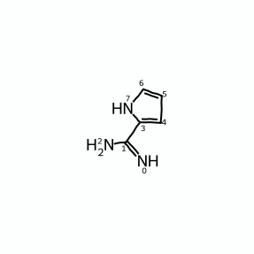 N=C(N)c1ccc[nH]1